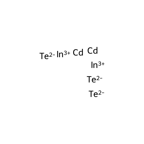 [Cd].[Cd].[In+3].[In+3].[Te-2].[Te-2].[Te-2]